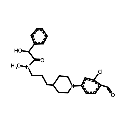 CN(CCCC1CCN(c2ccc(C=O)c(Cl)c2)CC1)C(=O)C(O)c1ccccc1